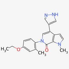 CCOc1ccc(-n2cc(-c3cn[nH]c3)c3ccn(C)c3c2=O)c(C)c1